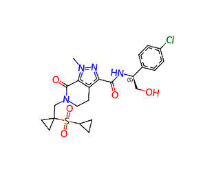 Cn1nc(C(=O)N[C@H](CO)c2ccc(Cl)cc2)c2c1C(=O)N(CC1(S(=O)(=O)C3CC3)CC1)CC2